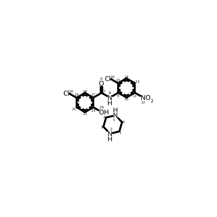 C1CNCCN1.O=C(Nc1cc([N+](=O)[O-])ccc1Cl)c1cc(Cl)ccc1O